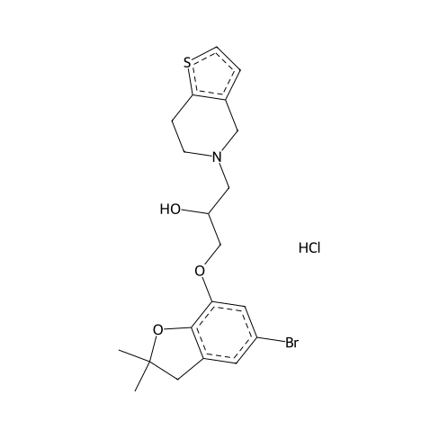 CC1(C)Cc2cc(Br)cc(OCC(O)CN3CCc4sccc4C3)c2O1.Cl